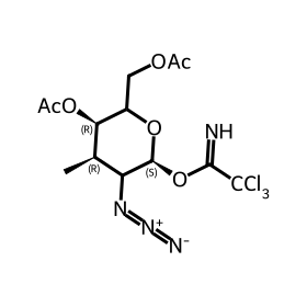 CC(=O)OCC1O[C@@H](OC(=N)C(Cl)(Cl)Cl)C(N=[N+]=[N-])[C@@H](C)[C@H]1OC(C)=O